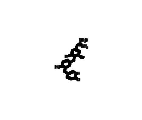 N[C@H](Cc1cc(Br)c(Oc2ccc(O)c(Cc3ccc(=O)[nH]c3)c2)c(Br)c1)C(=O)O